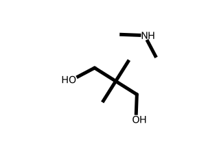 CC(C)(CO)CO.CNC